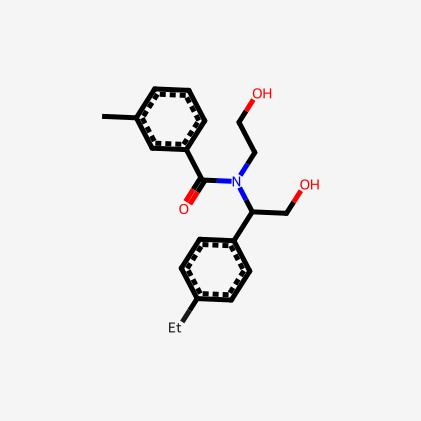 CCc1ccc(C(CO)N(CCO)C(=O)c2cccc(C)c2)cc1